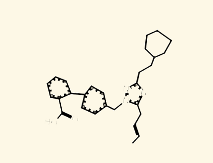 CC=CCc1nc(CCC2CCCCC2)nn1Cc1ccc(-c2ccccc2C(=O)O)cc1